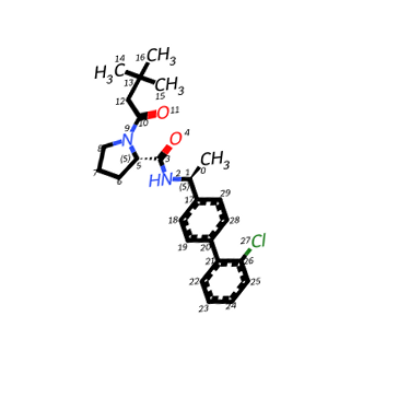 C[C@H](NC(=O)[C@@H]1CCCN1C(=O)CC(C)(C)C)c1ccc(-c2ccccc2Cl)cc1